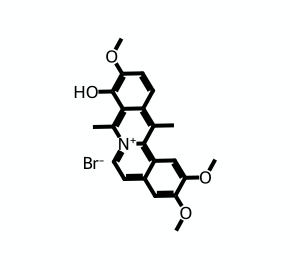 COc1cc2cc[n+]3c(C)c4c(O)c(OC)ccc4c(C)c3c2cc1OC.[Br-]